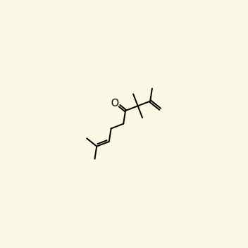 C=C(C)C(C)(C)C(=O)CCC=C(C)C